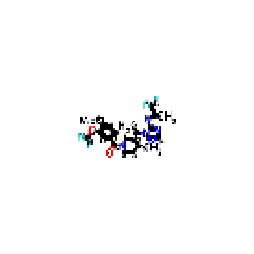 C=C([C@@H]1CN(C(=O)c2ccc(OC)c(OC(F)F)c2)CC[C@H]1C)n1ncnc1/N=C(\C)C(F)F